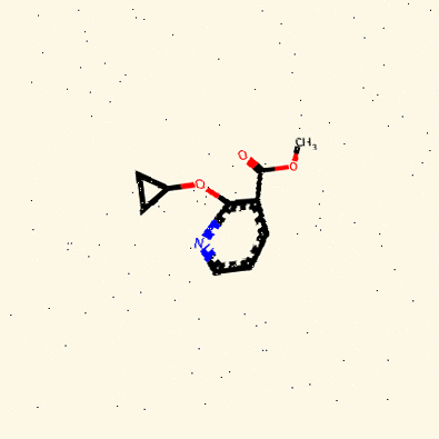 COC(=O)c1cccnc1OC1CC1